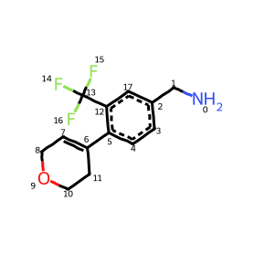 NCc1ccc(C2=CCOCC2)c(C(F)(F)F)c1